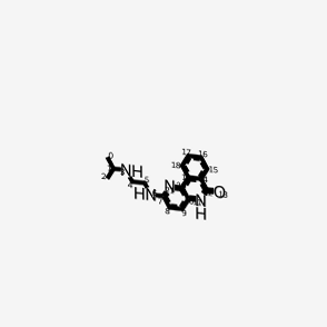 CC(C)NCCNc1ccc2[nH]c(=O)c3ccccc3c2n1